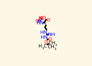 CC(C)(C)OC(=O)NC(=N)NCCC[C@H](N[N+](=O)[O-])C(=O)O